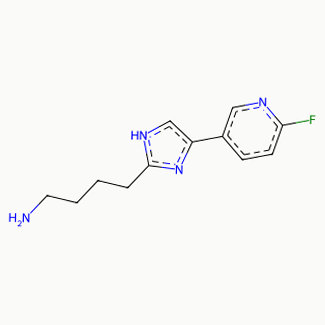 NCCCCc1nc(-c2ccc(F)nc2)c[nH]1